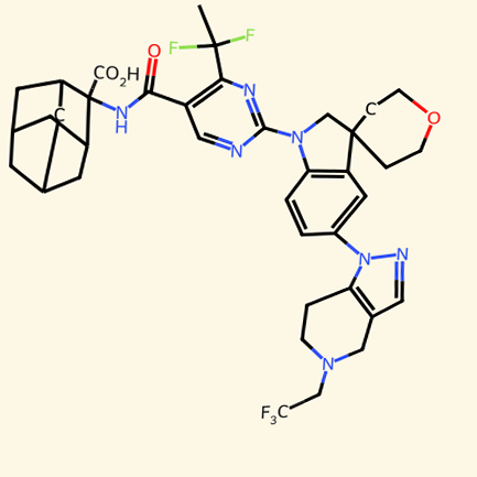 CC(F)(F)c1nc(N2CC3(CCOCC3)c3cc(-n4ncc5c4CCN(CC(F)(F)F)C5)ccc32)ncc1C(=O)NC1(C(=O)O)C2CC3CC(C2)CC1C3